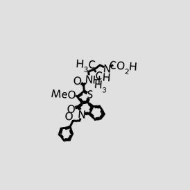 COc1c(C(=O)NCC(C)(C)CNC(=O)O)sc2c1c(=O)n(CC(=O)c1ccccc1)c1ccccc21